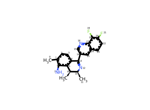 Cc1ccc2c(c1N)[C@H](C)[C@H](C)N=C2c1cnc2c(F)c(F)ccc2c1